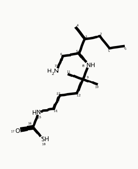 CCCC(C)C(CN)NC(C)(C)CCCNC(=O)S